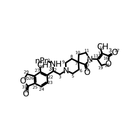 CCCNC(CN1CCC2(CC1)CCN(C1=C(C)C(=O)OC1)C2=O)c1ccc2c(c1C)COC2=O